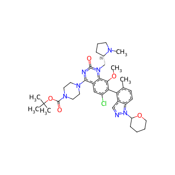 COc1c(-c2c(C)ccc3c2cnn3C2CCCCO2)c(Cl)cc2c(N3CCN(C(=O)OC(C)(C)C)CC3)nc(=O)n(C[C@@H]3CCCN3C)c12